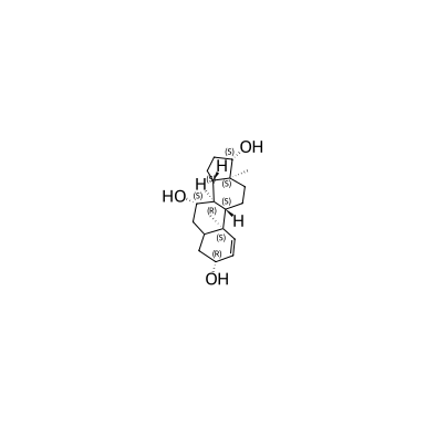 C[C@]12CC[C@H]3[C@@H]([C@@H](O)CC4C[C@@H](O)C=C[C@@]43C)[C@@H]1CC[C@@H]2O